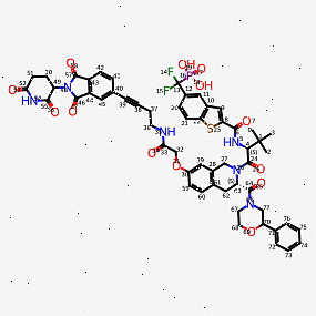 CC(C)(C)[C@H](NC(=O)c1cc2cc(C(F)(F)P(=O)(O)O)ccc2s1)C(=O)N1Cc2cc(OCC(=O)NCCC#Cc3ccc4c(c3)C(=O)N(C3CCC(=O)NC3=O)C4=O)ccc2C[C@H]1C(=O)N1CCOC(c2ccccc2)C1